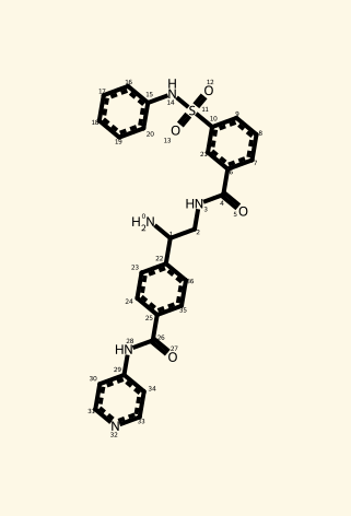 NC(CNC(=O)c1cccc(S(=O)(=O)Nc2ccccc2)c1)c1ccc(C(=O)Nc2ccncc2)cc1